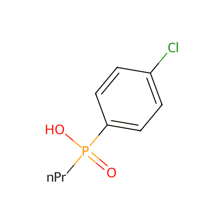 CCCP(=O)(O)c1ccc(Cl)cc1